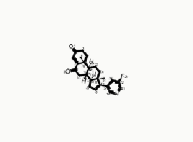 C[C@]12CCC(=O)C=C1C(=O)C[C@@H]1[C@@H]2CC[C@]2(C)C(c3cncc(F)c3)=CC[C@@H]12